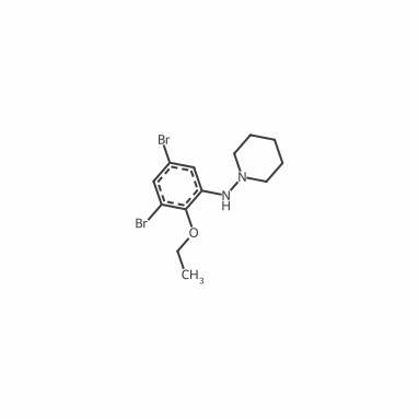 CCOc1c(Br)cc(Br)cc1NN1CCCCC1